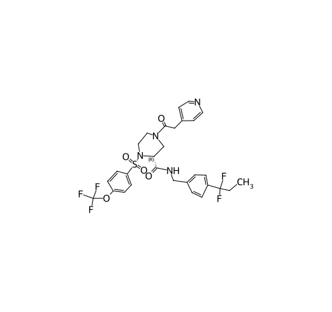 CCC(F)(F)c1ccc(CNC(=O)[C@H]2CN(C(=O)Cc3ccncc3)CCN2S(=O)(=O)c2ccc(OC(F)(F)F)cc2)cc1